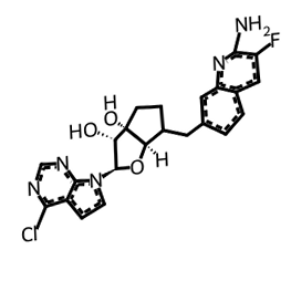 Nc1nc2cc(CC3CC[C@@]4(O)[C@@H]3O[C@@H](n3ccc5c(Cl)ncnc53)[C@@H]4O)ccc2cc1F